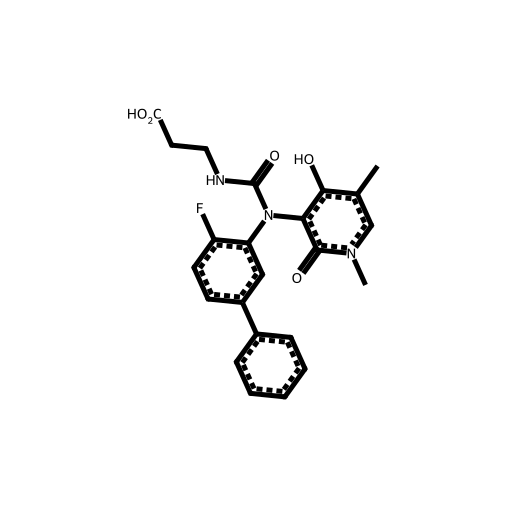 Cc1cn(C)c(=O)c(N(C(=O)NCCC(=O)O)c2cc(-c3ccccc3)ccc2F)c1O